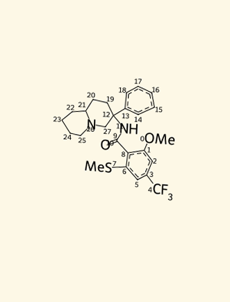 COc1cc(C(F)(F)F)cc(SC)c1C(=O)NC1(c2ccccc2)CCC2CCCCN2C1